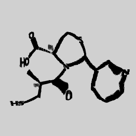 C[C@H](CS)C(=O)N1C(c2cccnc2)SC[C@H]1C(=O)O